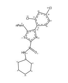 CCCCCc1sc(C(=O)NC2CCCCC2)nc1-c1ccc(Cl)cc1Cl